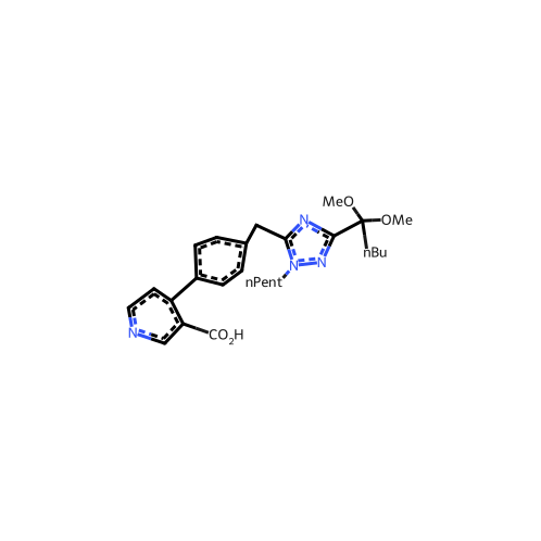 CCCCCn1nc(C(CCCC)(OC)OC)nc1Cc1ccc(-c2ccncc2C(=O)O)cc1